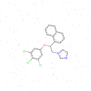 Clc1cc(OC(Cn2ccnc2)c2cccc3ccccc23)cc(Cl)c1Cl